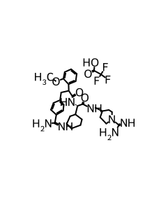 COc1ccccc1C(Cc1ccc(C(=N)N)cc1)C(=O)N[C@H](C(=O)NCC1CCN(C(=N)N)CC1)C1CCCCC1.O=C(O)C(F)(F)F